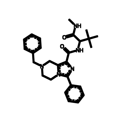 CNC(=O)C(NC(=O)c1nc(-c2ccccc2)n2c1CN(Cc1ccccc1)CC2)C(C)(C)C